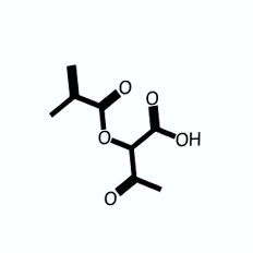 C=C(C)C(=O)OC(C(C)=O)C(=O)O